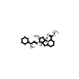 COC(=O)C1CCCC2C[C@@H]3[C@@H](/C=C/[C@H](O)C4CCCCC4)[C@H](O)C[C@H]3N21